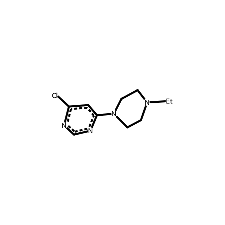 CCN1CCN(c2cc(Cl)ncn2)CC1